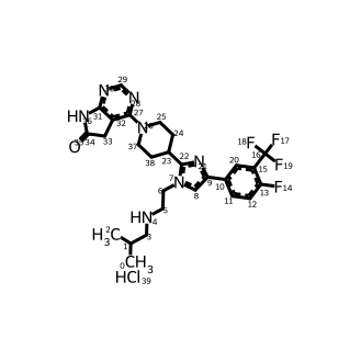 CC(C)CNCCn1cc(-c2ccc(F)c(C(F)(F)F)c2)nc1C1CCN(c2ncnc3c2CC(=O)N3)CC1.Cl